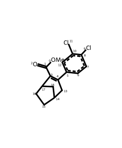 COC(=O)C1=C(c2ccc(Cl)c(Cl)c2)CC2CCC1C2